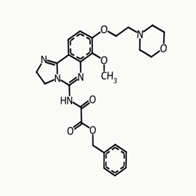 COc1c(OCCN2CCOCC2)ccc2c1N=C(NC(=O)C(=O)OCc1ccccc1)N1CCN=C21